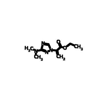 C=C(C(=O)OCC)n1cnc(N(C)C)n1